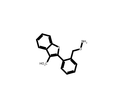 NOCc1ccccc1-c1sc2ccccc2c1C(=O)O